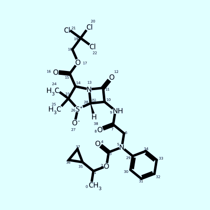 CC(OC(=O)N(CC(=O)NC1C(=O)N2C(C(=O)OCC(Cl)(Cl)Cl)C(C)(C)[S+]([O-])[C@@H]12)c1ccccc1)C1CC1